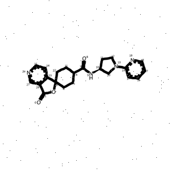 O=C1OC2(CCC(C(=O)N[C@H]3CCN(c4ccccn4)C3)CC2)c2ccncc21